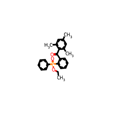 CCOP(=O)(c1ccccc1)c1ccccc1C(=O)c1c(C)cc(C)cc1C